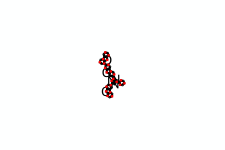 c1ccc(-c2nc(-c3ccc4c(c3)oc3cc(-c5cccc6c5oc5ccccc56)ccc34)nc(-c3ccc4oc5ccccc5c4c3)n2)cc1